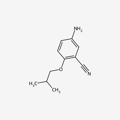 CC(C)COc1ccc(N)cc1C#N